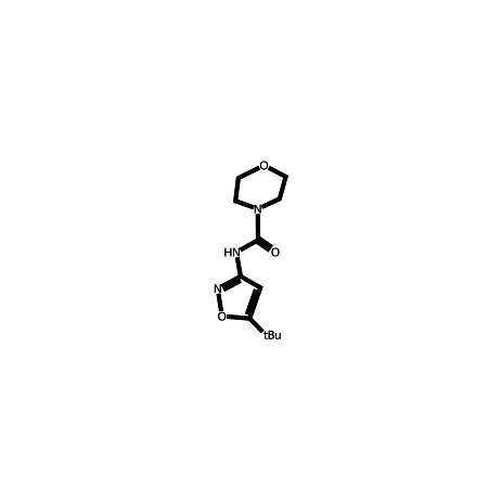 CC(C)(C)c1cc(NC(=O)N2CCOCC2)no1